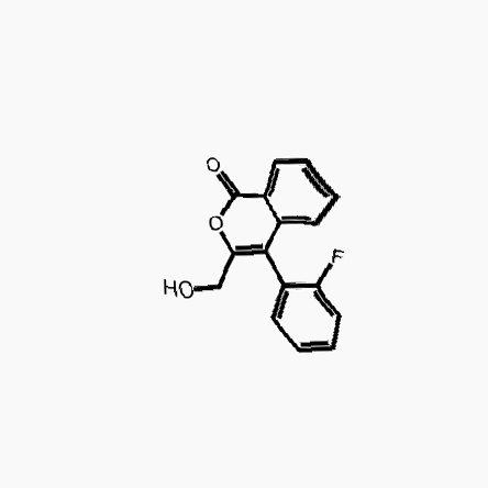 O=c1oc(CO)c(-c2ccccc2F)c2ccccc12